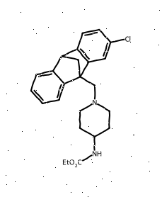 CCOC(=O)NC1CCN(CC23CC(c4ccccc42)c2ccc(Cl)cc23)CC1